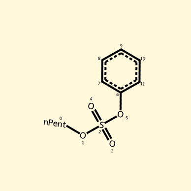 CCCCCOS(=O)(=O)Oc1ccccc1